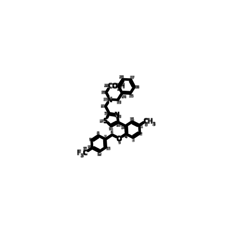 Cc1ccc(OCc2ccc(C(F)(F)F)cc2)c(-c2csc(CN(CC(=O)O)Cc3ccccc3)n2)c1